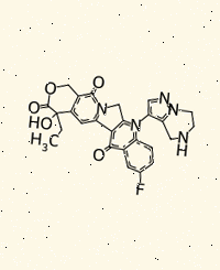 CCC1(O)C(=O)OCc2c1cc1n(c2=O)Cc2c-1c(=O)c1cc(F)ccc1n2-c1cnn2c1CNCC2